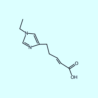 CCn1cnc(CCC=CC(=O)O)c1